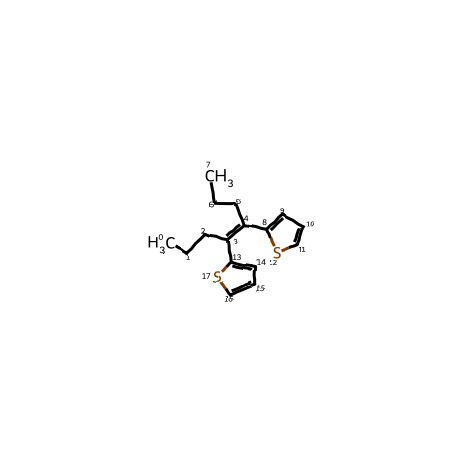 CCCC(=C(CCC)c1cccs1)c1cccs1